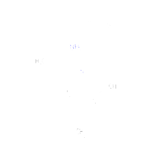 CCC(N)N(Cc1ccccc1)c1ccc(C)cc1C